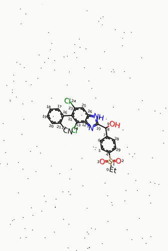 CCS(=O)(=O)c1ccc(C(O)c2nc3c(Cl)c(-c4ccccc4C#N)c(Cl)cc3[nH]2)cc1